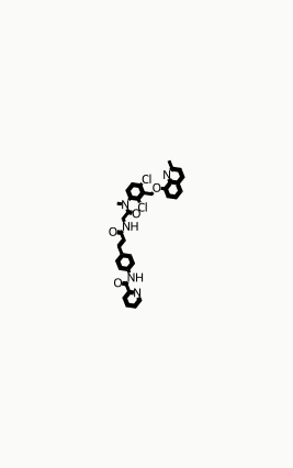 Cc1ccc2cccc(OCc3c(Cl)ccc(N(C)C(=O)CNC(=O)C=Cc4ccc(NC(=O)c5ccccn5)cc4)c3Cl)c2n1